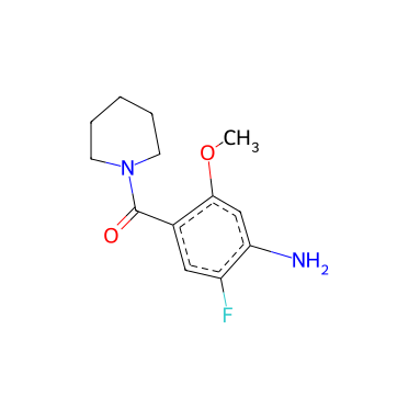 COc1cc(N)c(F)cc1C(=O)N1CCCCC1